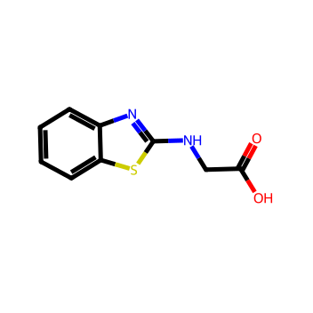 O=C(O)CNc1nc2ccccc2s1